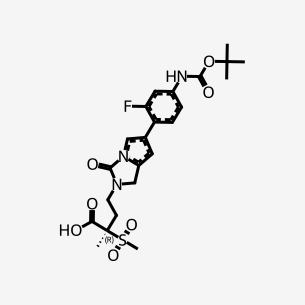 CC(C)(C)OC(=O)Nc1ccc(-c2cc3n(c2)C(=O)N(CC[C@](C)(C(=O)O)S(C)(=O)=O)C3)c(F)c1